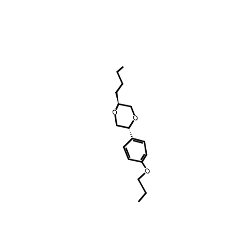 CCCC[C@H]1CO[C@H](c2ccc(OCCC)cc2)CO1